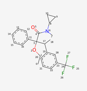 CCOC(C(=O)N(C)C1CC1)(c1ccccc1)C(C)c1cccc(C(F)(F)F)c1